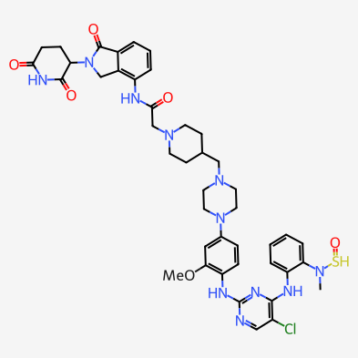 COc1cc(N2CCN(CC3CCN(CC(=O)Nc4cccc5c4CN(C4CCC(=O)NC4=O)C5=O)CC3)CC2)ccc1Nc1ncc(Cl)c(Nc2ccccc2N(C)[SH]=O)n1